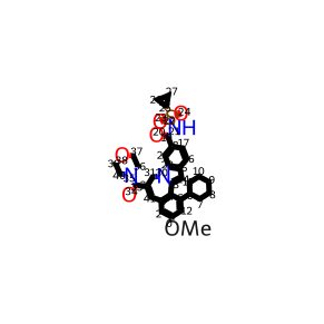 COc1cc2c(c(C3CCCCC3)c1)-c1cc3ccc(C(=O)NS(=O)(=O)C4CC4)cc3n1CC(C(=O)N1CCOCC1)=C2